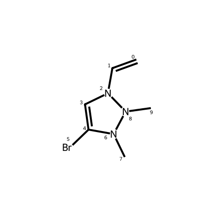 C=CN1C=C(Br)N(C)N1C